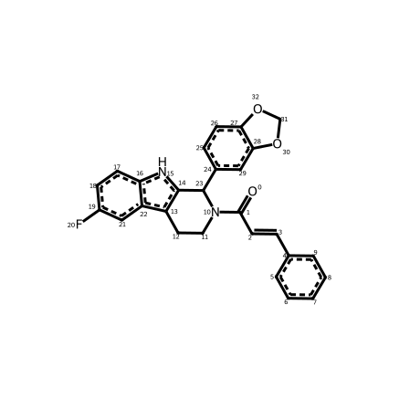 O=C(C=Cc1ccccc1)N1CCc2c([nH]c3ccc(F)cc23)C1c1ccc2c(c1)OCO2